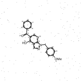 COc1ccc(Cn2ncc3c(O)c(C(=O)c4ccccc4)cnc32)cc1